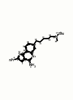 CCCc1cc2c(N)nc3cc(CCCCCN(C)C(C)(C)C)ccc3c2s1